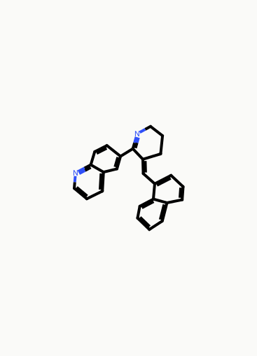 C(=C1/CCCN=C1c1ccc2ncccc2c1)/c1cccc2ccccc12